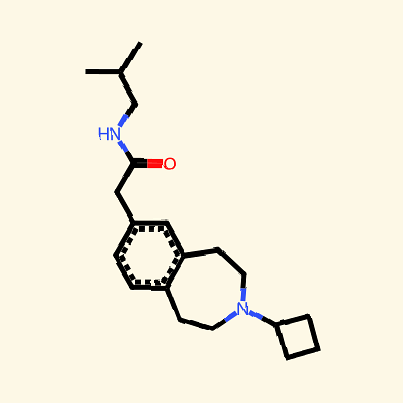 CC(C)CNC(=O)Cc1ccc2c(c1)CCN(C1CCC1)CC2